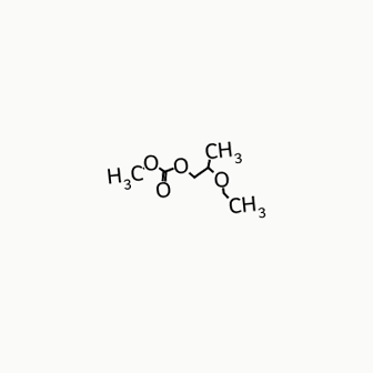 CCOC(C)COC(=O)OC